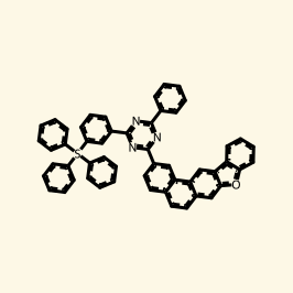 c1ccc(-c2nc(-c3cccc(S(c4ccccc4)(c4ccccc4)c4ccccc4)c3)nc(-c3ccc4ccc5cc6oc7ccccc7c6cc5c4c3)n2)cc1